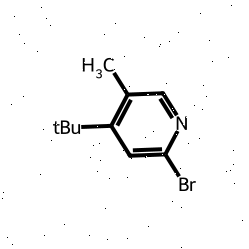 Cc1cnc(Br)cc1C(C)(C)C